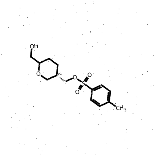 Cc1ccc(S(=O)(=O)OC[C@H]2CCC(CO)OC2)cc1